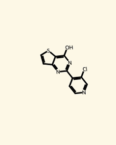 Oc1nc(-c2ccncc2Cl)nc2ccsc12